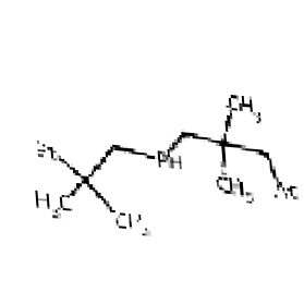 CCC(C)(C)CPCC(C)(C)CC(C)=O